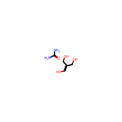 NC(N)=O.OC=C(CO)CO